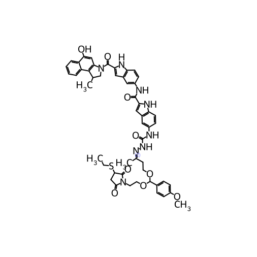 CCSC1CC(=O)N(CCOC(OCC/C(C)=N\NC(=O)Nc2ccc3[nH]c(C(=O)Nc4ccc5[nH]c(C(=O)N6CC(C)c7c6cc(O)c6ccccc76)cc5c4)cc3c2)c2ccc(OC)cc2)C1=O